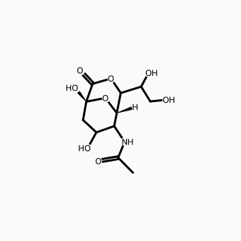 CC(=O)NC1C(O)C[C@@]2(O)O[C@@H]1C(C(O)CO)OC2=O